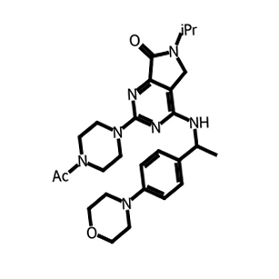 CC(=O)N1CCN(c2nc(NC(C)c3ccc(N4CCOCC4)cc3)c3c(n2)C(=O)N(C(C)C)C3)CC1